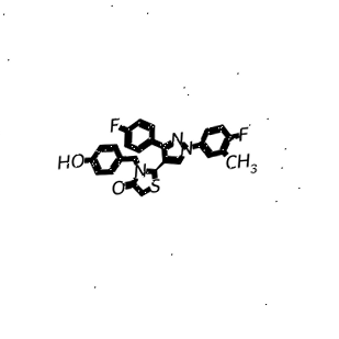 Cc1cc(-n2cc([C@H]3SCC(=O)N3Cc3ccc(O)cc3)c(-c3ccc(F)cc3)n2)ccc1F